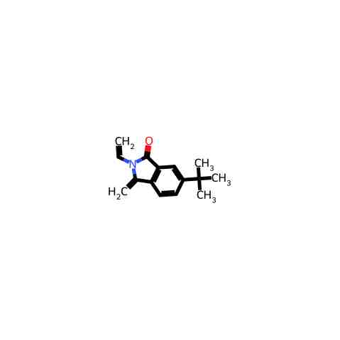 C=CN1C(=C)c2ccc(C(C)(C)C)cc2C1=O